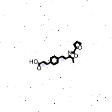 Cc1oc(-c2ccco2)nc1/C=C/c1ccc(/C=C/C(=O)O)cc1